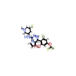 CN1C[C@H](F)C[C@@H](Nc2nnc(-c3c(O)cc(OC(F)F)cc3F)c3cccn23)C1